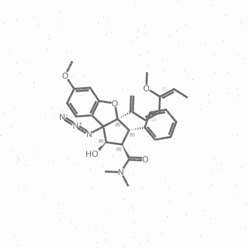 C=C(/C=C\C(=C/C)OC)[C@@]12Oc3cc(OC)ccc3C1(N=[N+]=[N-])[C@H](O)[C@H](C(=O)N(C)C)[C@H]2c1ccccc1